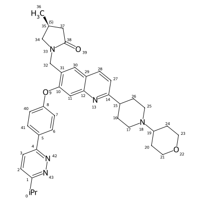 CC(C)c1ccc(-c2ccc(Oc3cc4nc(C5CCN(C6CCOCC6)CC5)ccc4cc3CN3C[C@@H](C)CC3=O)cc2)nn1